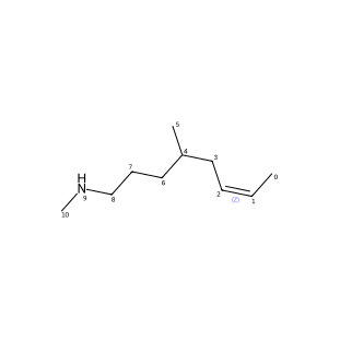 C/C=C\CC(C)CCCNC